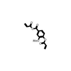 C=CC(=O)OC(=O)c1ccc(OC(=O)C=C)c(OC)c1